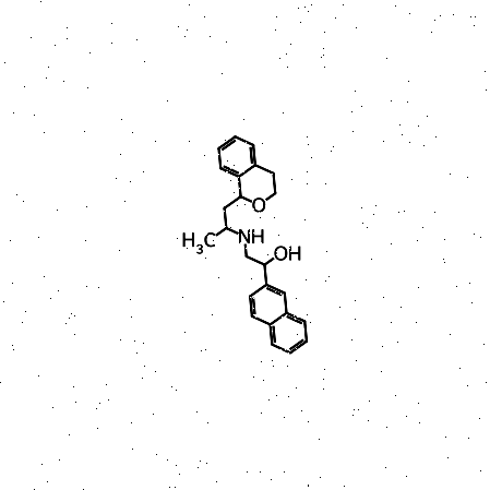 CC(CC1OCCc2ccccc21)NCC(O)c1ccc2ccccc2c1